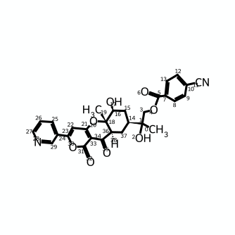 CC(O)(COC(=O)c1ccc(C#N)cc1)[C@@H]1C[C@H](O)[C@@]2(C)Oc3cc(-c4cccnc4)oc(=O)c3C(=O)[C@@H]2C1